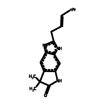 CCC/C=C/Cc1nc2cc3c(cc2[nH]1)NC(=O)C3(C)C